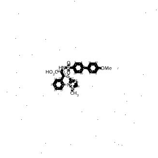 COc1ccc(-c2ccc(S(=O)(=O)N[C@@H](C(=O)O)[C@H](Sc3ncn(C)n3)c3ccccc3)cc2)cc1